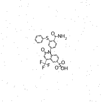 NC(=O)c1ccc(-n2c(=O)cc(C(F)(F)F)c3cc(S(=O)(=O)O)ccc32)cc1Sc1ccccc1